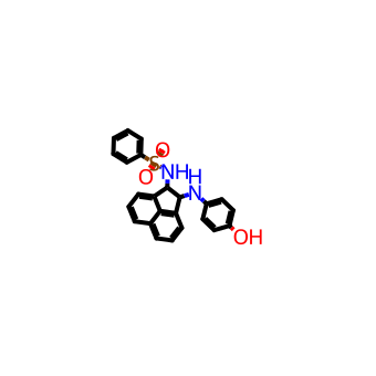 O=S(=O)(NC1c2cccc3cccc(c23)C1Nc1ccc(O)cc1)c1ccccc1